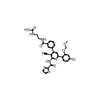 COCOc1cc(Cl)ccc1-c1cc(-c2cccc(C(=O)NCCNC(=O)O)c2)c(C#N)c(NC(=O)c2nccs2)n1